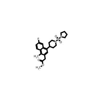 COC(=O)Cc1cc(C2CCN(S(=O)(=O)N3CCCC3)CC2)c2cc(F)ccc2c1C